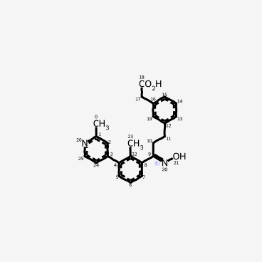 Cc1cc(-c2cccc(/C(CCc3cccc(CC(=O)O)c3)=N/O)c2C)ccn1